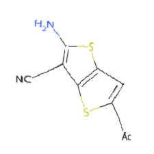 CC(=O)c1cc2sc(N)c(C#N)c2s1